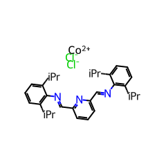 CC(C)c1cccc(C(C)C)c1N=Cc1cccc(C=Nc2c(C(C)C)cccc2C(C)C)n1.[Cl-].[Cl-].[Co+2]